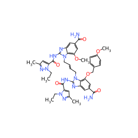 CCn1nc(C)cc1C(=O)Nc1nc2cc(C(N)=O)cc(OC)c2n1C/C=C/Cn1c(NC(=O)c2cc(C)nn2CC)nc2cc(C(N)=O)cc(OCc3ccc(OC)cc3)c21